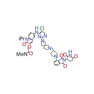 CNC(=O)COc1cc2cc(Nc3nc(N4CCC5(CCN(CC6CCN(c7cccc8c7C(=O)N(C7CCC(=O)NC7=O)C8=O)CC6)C5)C4)ncc3Cl)ccc2n(C(C)C)c1=O